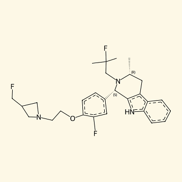 C[C@@H]1Cc2c([nH]c3ccccc23)[C@H](c2ccc(OCCN3CC(CF)C3)c(F)c2)N1CC(C)(C)F